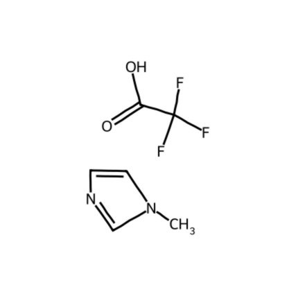 Cn1ccnc1.O=C(O)C(F)(F)F